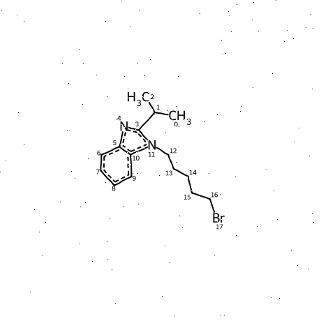 CC(C)c1nc2ccccc2n1CCCCCBr